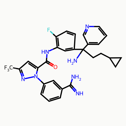 N=C(N)c1cccc(-n2nc(C(F)(F)F)cc2C(=O)Nc2cc(C(N)(CCC3CC3)c3cccnc3)ccc2F)c1